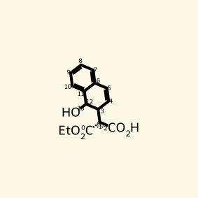 CCOC(=O)[C@@H](C(=O)O)C1C=Cc2ccccc2C1O